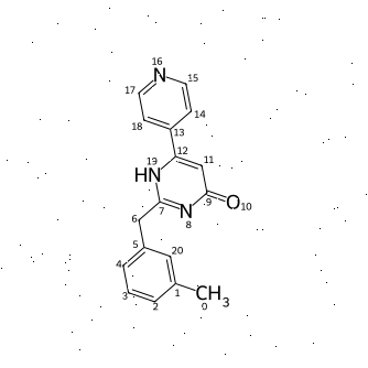 Cc1cccc(Cc2nc(=O)cc(-c3ccncc3)[nH]2)c1